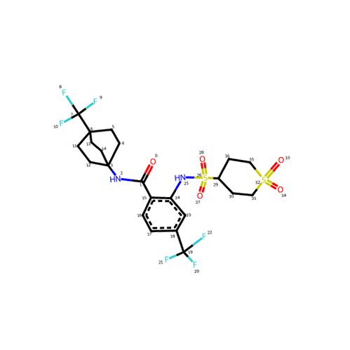 O=C(NC12CCC(C(F)(F)F)(CC1)CC2)c1ccc(C(F)(F)F)cc1NS(=O)(=O)C1CCS(=O)(=O)CC1